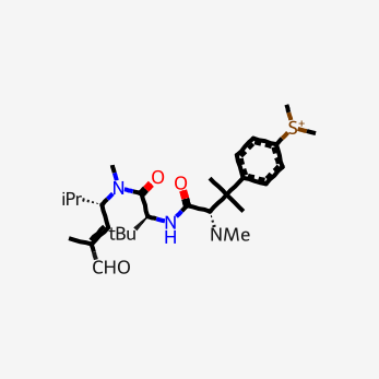 CN[C@H](C(=O)N[C@H](C(=O)N(C)[C@H](/C=C(\C)C=O)C(C)C)C(C)(C)C)C(C)(C)c1ccc([S+](C)C)cc1